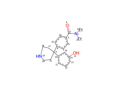 CCN(CC)C(=O)c1ccc(C2(c3cccc(O)c3)CCNCC2)cc1